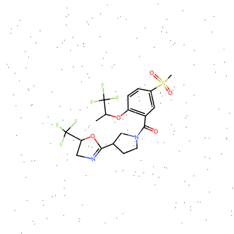 CC(Oc1ccc(S(C)(=O)=O)cc1C(=O)N1CCC(C2=NCC(C(F)(F)F)O2)C1)C(F)(F)F